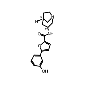 O=C(N[C@@H]1C[C@@H]2CCN(C2)C1)c1ccc(-c2cccc(O)c2)o1